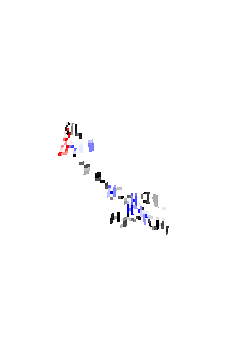 CCC1CN(C)CC(CC)N1c1ncc(C2CCN(CCCCCCCCCNC(=O)COC)CC2)cn1